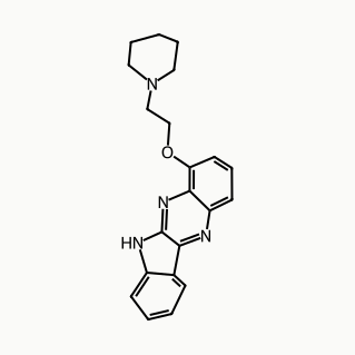 c1cc(OCCN2CCCCC2)c2nc3[nH]c4ccccc4c3nc2c1